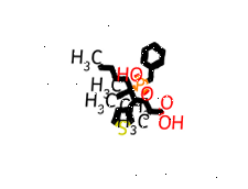 CCCCCC(C(CC(C)C(=O)O)c1ccsc1)(C(C)(C)C)P(=O)(O)Cc1ccccc1